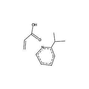 C=CC(=O)O.CC(C)c1ccccn1